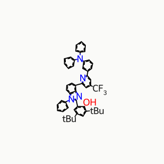 CC(C)(C)c1cc(-c2nc3c(-c4cc(C(F)(F)F)cc(-c5cccc(N(c6ccccc6)c6ccccc6)c5)n4)cccc3n2-c2ccccc2)c(O)c(C(C)(C)C)c1